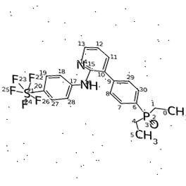 CCP(=O)(CC)c1ccc(-c2cccnc2Nc2ccc(S(F)(F)(F)(F)F)cc2)cc1